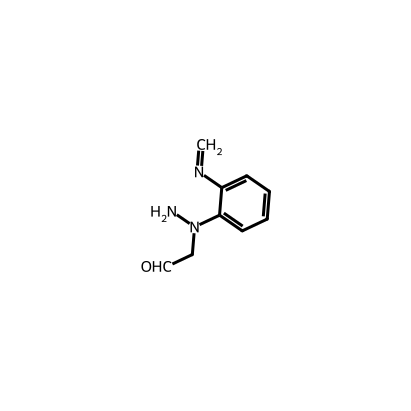 C=Nc1ccccc1N(N)CC=O